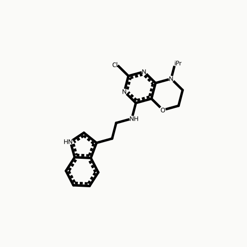 CC(C)N1CCOc2c(NCCc3c[nH]c4ccccc34)nc(Cl)nc21